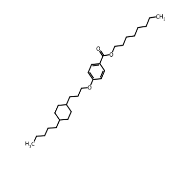 CCCCCCCCOC(=O)c1ccc(OCCCC2CCC(CCCCC)CC2)cc1